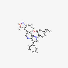 Cc1noc(C)c1-c1cnc2c(-c3ccccc3)cn(-c3ccc(C(=O)O)cc3OC(F)(F)F)c2c1